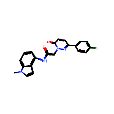 Cn1ccc2c(NC(=O)Cn3nc(-c4ccc(Cl)cc4)ccc3=O)cccc21